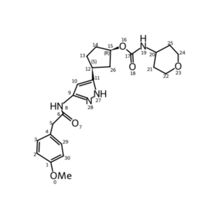 COc1ccc(CC(=O)Nc2cc([C@H]3CC[C@@H](OC(=O)NC4CCOCC4)C3)[nH]n2)cc1